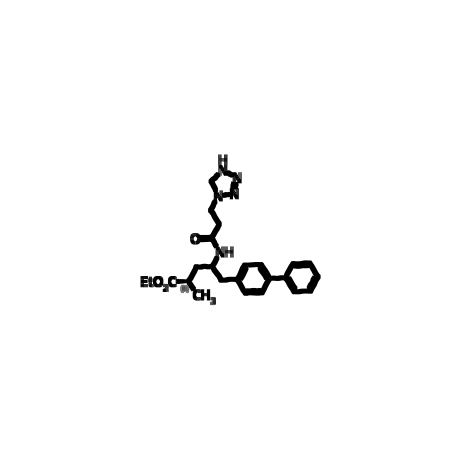 CCOC(=O)[C@H](C)CC(Cc1ccc(-c2ccccc2)cc1)NC(=O)CCN1CNN=N1